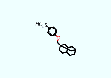 O=S(=O)(O)c1ccc(OCC23CCC4CCC(CC4C2)C3)cc1